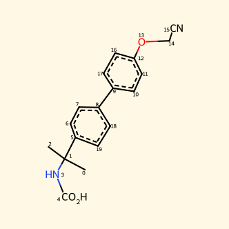 CC(C)(NC(=O)O)c1ccc(-c2ccc(OCC#N)cc2)cc1